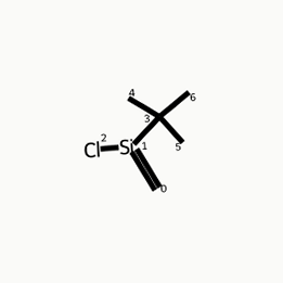 C=[Si](Cl)C(C)(C)C